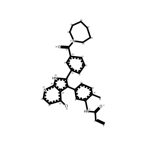 C=CC(=O)Nc1cc(-c2c(-c3cccc(C(=O)N4CCCCCC4)c3)[nH]c3nccc(Cl)c23)ccc1C